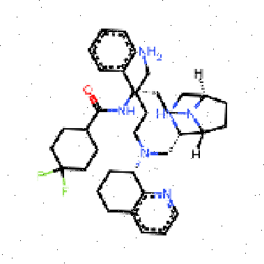 NCCCCN(C[C@@H]1NC[C@H]2CC[C@H]1N2CC[C@H](NC(=O)C1CCC(F)(F)CC1)c1ccccc1)[C@H]1CCCc2cccnc21